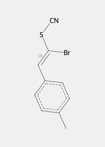 Cc1ccc(/C=C(\Br)SC#N)cc1